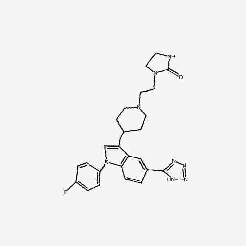 O=C1NCCN1CCN1CCC(c2cn(-c3ccc(F)cc3)c3ccc(-c4nnn[nH]4)cc23)CC1